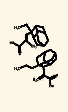 C=C(C(=O)O)C1C2CC3CC(C2)CC1(CCC)C3.CCC1(/C=C(\C)C(=O)O)C2CC3CC(C2)CC1C3